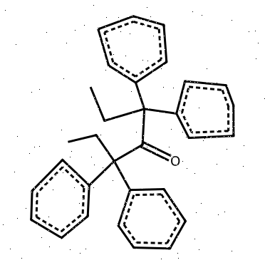 CCC(C(=O)C(CC)(c1ccccc1)c1ccccc1)(c1ccccc1)c1ccccc1